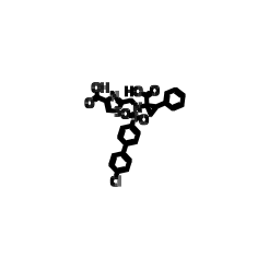 O=C(O)c1csc(CN(C2(C(=O)O)CC2c2ccccc2)S(=O)(=O)c2ccc(-c3ccc(Cl)cc3)cc2)n1